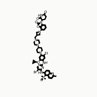 CCc1cc(Nc2ncc(Br)c(Nc3ccc4nc(C)ccc4c3P(C)(C)=O)n2)c(OC2CC2)cc1N1CCC(N2CCN(CC3CN(c4cccc5c4oc(=O)n5C4CCC(=O)NC4=O)C3)CC2)CC1